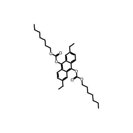 CCCCCCCOC(=O)Oc1c2ccc(CC)cc2c(OC(=O)OCCCCCCC)c2ccc(CC)cc12